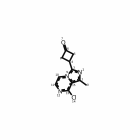 Cc1nc(C2CC(=O)C2)n2ccnc(Cl)c12